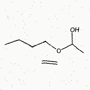 C=C.CCCCOC(C)O